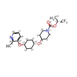 C[C@@H](OC(=O)N1CCC(O[C@H]2CC[C@H](Oc3cccnc3C#N)CC2)CC1)C(F)(F)F